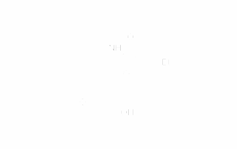 CCC(=O)OC1(N)C=COC1O